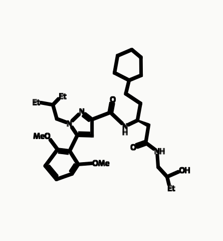 CCC(O)CNC(=O)C[C@H](CCC1CCCCC1)NC(=O)c1cc(-c2c(OC)cccc2OC)n(CC(CC)CC)n1